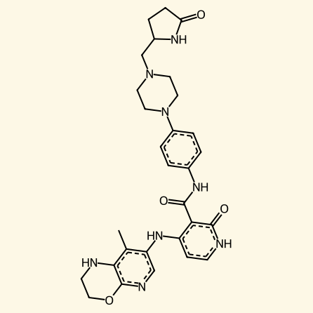 Cc1c(Nc2cc[nH]c(=O)c2C(=O)Nc2ccc(N3CCN(CC4CCC(=O)N4)CC3)cc2)cnc2c1NCCO2